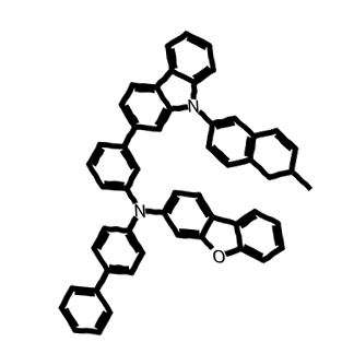 CC1C=Cc2cc(-n3c4ccccc4c4ccc(-c5cccc(N(c6ccc(-c7ccccc7)cc6)c6ccc7c(c6)oc6ccccc67)c5)cc43)ccc2C1